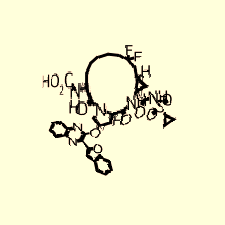 O=C(O)N[C@H]1CCCCCC(F)(F)C[C@@H]2C[C@@]2(C(=O)NS(=O)(=O)C2CC2)NC(=O)[C@@H]2C[C@@H](Oc3nc4ccccc4nc3-c3cc4ccccc4o3)CN2C1=O